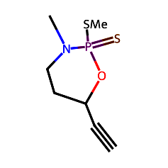 C#CC1CCN(C)P(=S)(SC)O1